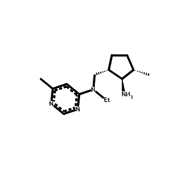 CCN(C[C@@H]1CC[C@H](C)[C@H]1N)c1cc(C)ncn1